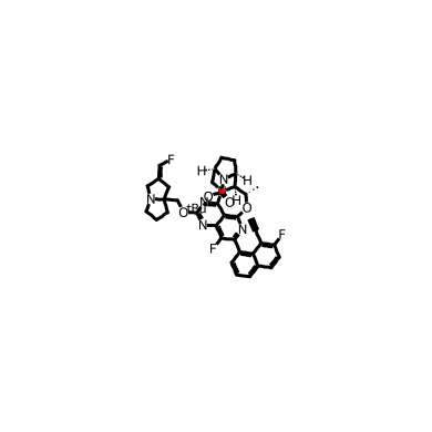 C#Cc1c(F)ccc2cccc(-c3nc4c5c(nc(OCC67CCCN6CC(=CF)C7)nc5c3F)N3C[C@H]5CC[C@@H]([C@H]3[C@H](C)O4)N5C(=O)OC(C)(C)C)c12